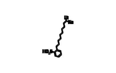 CC[CH]([Na])CCCCCCCCCc1ccccc1S(=O)(=O)O